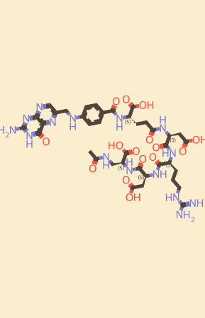 CC(=O)NC[C@H](NC(=O)[C@H](CC(=O)O)NC(=O)[C@H](CCCNC(=N)N)NC(=O)[C@H](CC(=O)O)NC(=O)CC[C@H](NC(=O)c1ccc(NCc2cnc3nc(N)[nH]c(=O)c3n2)cc1)C(=O)O)C(=O)O